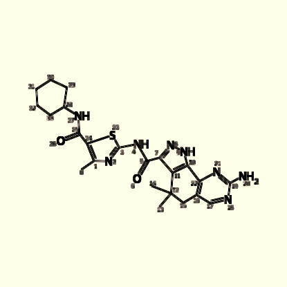 Cc1nc(NC(=O)c2n[nH]c3c2C(C)(C)Cc2cnc(N)nc2-3)sc1C(=O)NC1CCCCC1